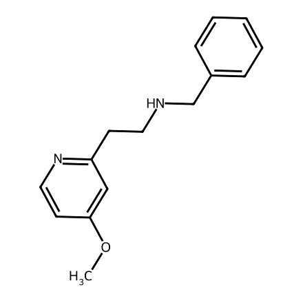 COc1ccnc(CCNCc2ccccc2)c1